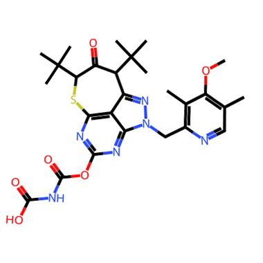 COc1c(C)cnc(Cn2nc3c4c(nc(OC(=O)NC(=O)O)nc42)SC(C(C)(C)C)C(=O)C3C(C)(C)C)c1C